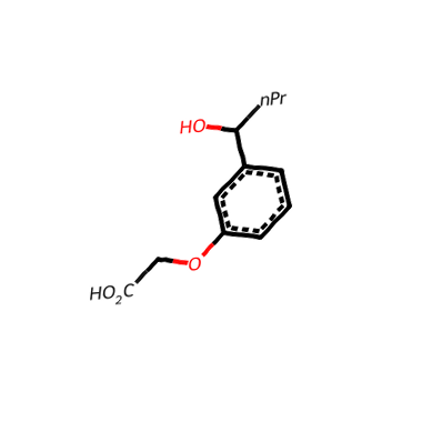 CCCC(O)c1cccc(OCC(=O)O)c1